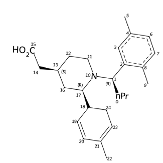 CCC[C@H](c1cc(C)ccc1C)N1CC[C@H](CC(=O)O)C[C@@H]1C1C=CC(C)=CC1